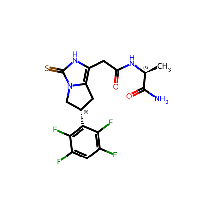 C[C@H](NC(=O)Cc1[nH]c(=S)n2c1C[C@H](c1c(F)c(F)cc(F)c1F)C2)C(N)=O